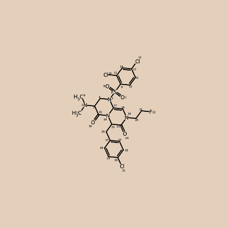 CN(C)C1CN(S(=O)(=O)c2ccc(Cl)cc2Cl)C2=CN(CCF)C(=O)C(Cc3ccc(Cl)cc3)N2C1=O